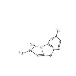 CCc1ccc2c(c1)N1NN(C(F)(F)F)C=C1S2